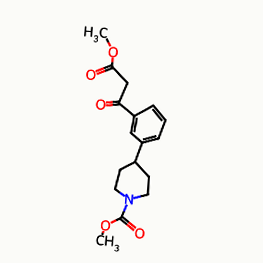 COC(=O)CC(=O)c1cccc(C2CCN(C(=O)OC)CC2)c1